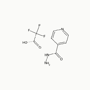 NNC(=O)c1ccncc1.O=C(O)C(F)(F)F